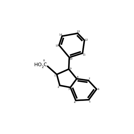 O=C(O)C1Cc2ccccc2C1c1ccccc1